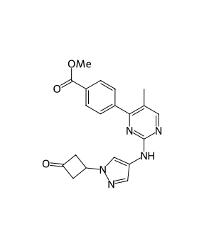 COC(=O)c1ccc(-c2nc(Nc3cnn(C4CC(=O)C4)c3)ncc2C)cc1